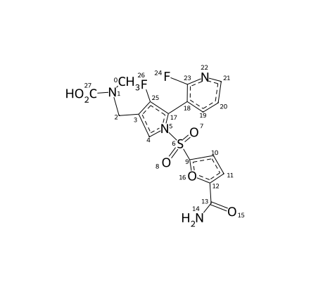 CN(Cc1cn(S(=O)(=O)c2ccc(C(N)=O)o2)c(-c2cccnc2F)c1F)C(=O)O